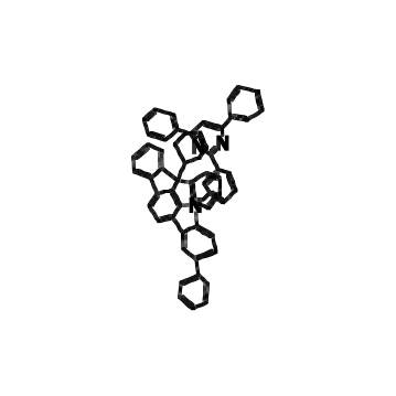 C1=CCC(C2(c3ccccc3)c3ccccc3-c3ccc4c5cc(-c6ccccc6)ccc5n(-c5cccc(-c6nc(-c7ccccc7)cc(-c7ccccc7)n6)c5)c4c32)CC1